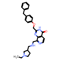 CCN1CCC(CNCc2nccc3c(=O)[nH]c(COc4ccc(Cc5ccccc5)cc4)nc23)C1